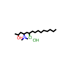 CCCCCCCCCC(Cl)CC(CC(C)O)N(C)C.Cl